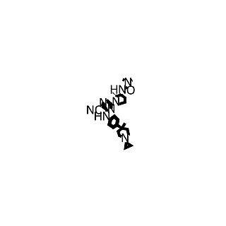 C[C@@H]1C(NC(=O)N(C)C)CCCN1c1cnc(C#N)c(Nc2ccc(C3(C)CCN(C4CC4)CC3)cc2)n1